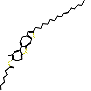 C=C(CCCCCC)SC1=C(C)C=c2c(sc3c2=CCc2cc(CCCCCCCCCCCCCCC)sc2C=3)=CC1